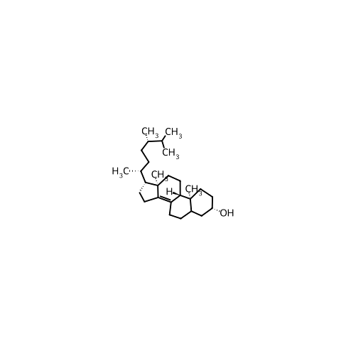 CC(C)[C@@H](C)CC[C@@H](C)[C@H]1CCC2=C3CCC4C[C@@H](O)CC[C@]4(C)[C@H]3CC[C@@]21C